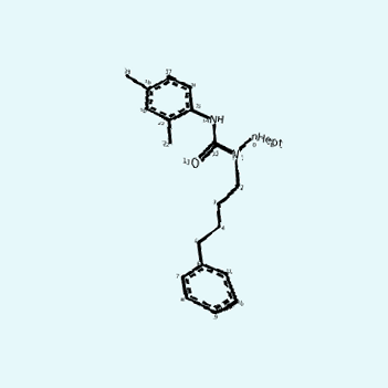 CCCCCCCN(CCCCc1ccccc1)C(=O)Nc1ccc(C)cc1C